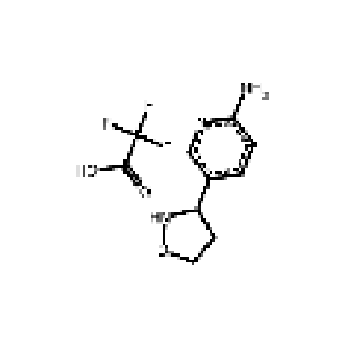 Nc1ccc(C2CCON2)cn1.O=C(O)C(F)(F)F